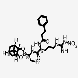 CC(C)C[C@H](NC(=O)[C@H](CCCNC(=N)N[N+](=O)[O-])NC(=O)CCc1ccccc1)B1O[C@@H]2C[C@@H]3C[C@@H](C3(C)C)[C@]2(C)O1